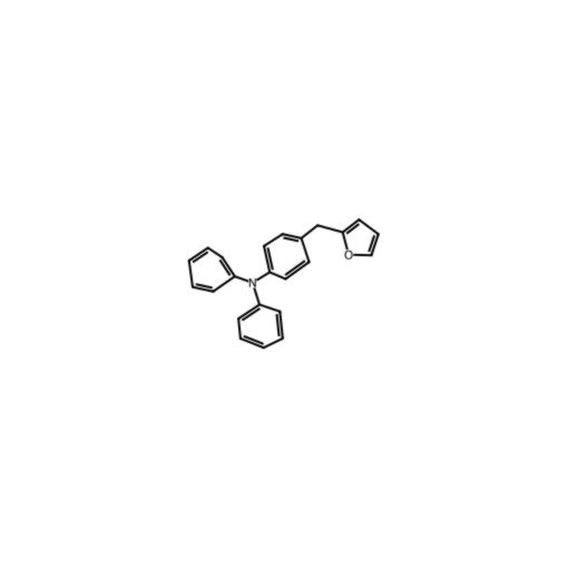 c1ccc(N(c2ccccc2)c2ccc(Cc3ccco3)cc2)cc1